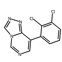 Clc1cccc(-c2cncn3cnnc23)c1Cl